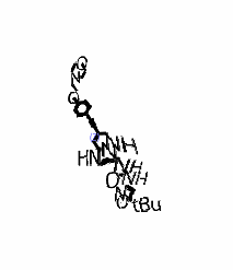 CC(C)(C)c1cc(NC(=O)Nc2c[nH]c(/C=C(/C#Cc3ccc(OCCN4CCOCC4)cc3)C=N)n2)no1